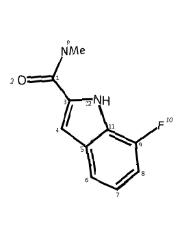 CNC(=O)c1cc2cccc(F)c2[nH]1